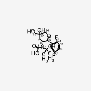 CC(C)(C)N(C(=O)O)[C@H]1CC(O)(CO)CO[C@H]1c1cc(F)ccc1F